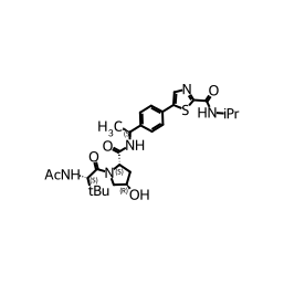 CC(=O)N[C@H](C(=O)N1C[C@H](O)C[C@H]1C(=O)N[C@@H](C)c1ccc(-c2cnc(C(=O)NC(C)C)s2)cc1)C(C)(C)C